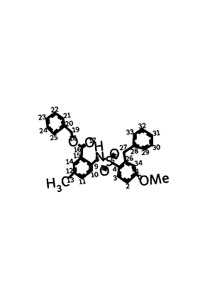 COc1ccc(S(=O)(=O)Nc2ccc(C)cc2C(=O)OCc2ccccc2)c(Cc2ccccc2)c1